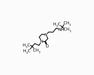 CC(C)(C)CCN1CCN(CCCNC(C)(C)C)CC1=O